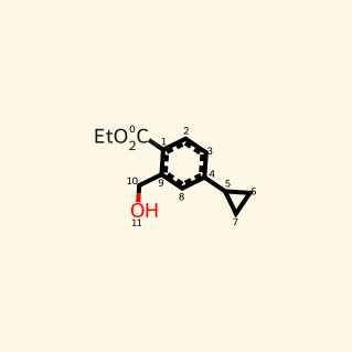 CCOC(=O)c1ccc(C2CC2)cc1CO